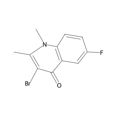 Cc1c(Br)c(=O)c2cc(F)ccc2n1C